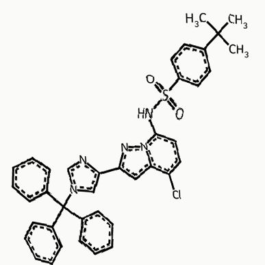 CC(C)(C)c1ccc(S(=O)(=O)Nc2ccc(Cl)c3cc(-c4cn(C(c5ccccc5)(c5ccccc5)c5ccccc5)cn4)nn23)cc1